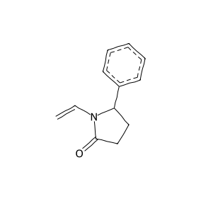 C=CN1C(=O)CCC1c1ccccc1